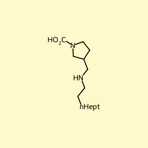 CCCCCCCCCNCC1CCN(C(=O)O)C1